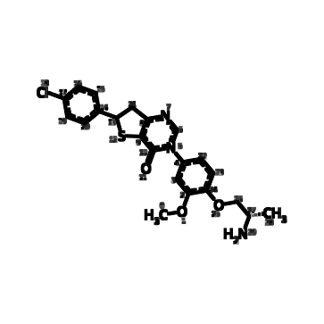 COc1cc(-n2cnc3c(c2=O)SC(c2ccc(Cl)cc2)C3)ccc1OC[C@H](C)N